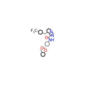 C[C@H](OC(=O)[C@H]1CC[C@H](NC(=O)c2ncn3cccc(Cc4ccc(C(F)(F)F)cc4)c23)CC1)c1ccccc1